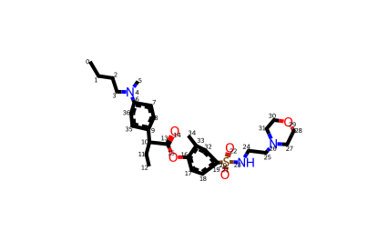 CCCCN(C)c1ccc(C(CC)C(=O)Oc2ccc(S(=O)(=O)NCCN3CCOCC3)cc2C)cc1